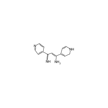 N=C(/C=C(\N)C1=CCNC=C1)c1ccncc1